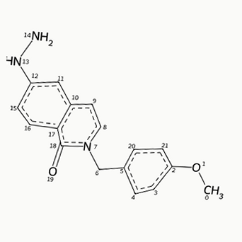 COc1ccc(Cn2ccc3cc(NN)ccc3c2=O)cc1